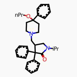 CCCOC1(c2ccccc2)CCN(CC2CN(C(C)C)C(=O)C2(c2ccccc2)c2ccccc2)CC1